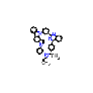 C=CCNC(=C)c1ccc(-c2nc(-c3cccc(-n4c5ccccc5c5ccc6c(ccn6-c6ccccc6)c54)c3)nc3ccccc23)cc1